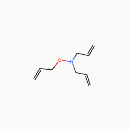 C=CCON(CC=C)CC=C